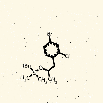 CC(Cc1ccc(Br)cc1Cl)O[Si](C)(C)C(C)(C)C